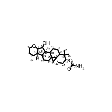 C[C@@H]1CCOC2C(O)[C@@]3(C)C4CCC5C(C)(C)[C@@H](OC(N)=O)CC[C@@]56CC46CC[C@]3(C)[C@H]21